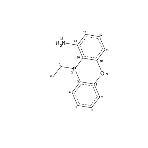 CCP1c2ccccc2Oc2cccc(N)c21